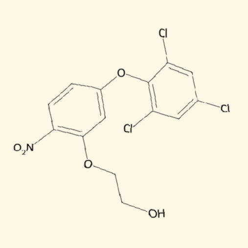 O=[N+]([O-])c1ccc(Oc2c(Cl)cc(Cl)cc2Cl)cc1OCCO